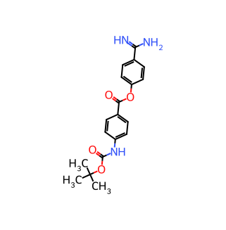 CC(C)(C)OC(=O)Nc1ccc(C(=O)Oc2ccc(C(=N)N)cc2)cc1